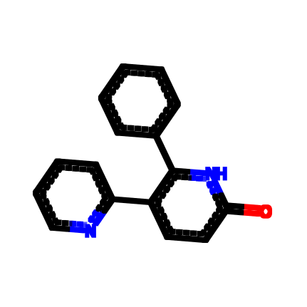 O=c1ccc(-c2ccccn2)c(-c2ccccc2)[nH]1